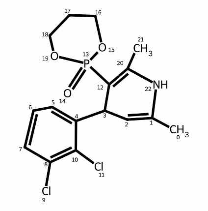 CC1=CC(c2cccc(Cl)c2Cl)C(P2(=O)OCCCO2)=C(C)N1